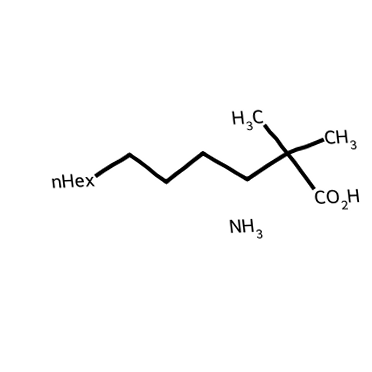 CCCCCCCCCCC(C)(C)C(=O)O.N